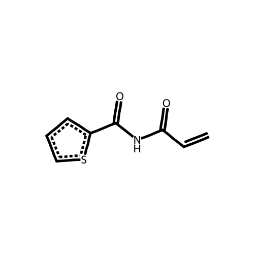 C=CC(=O)NC(=O)c1cccs1